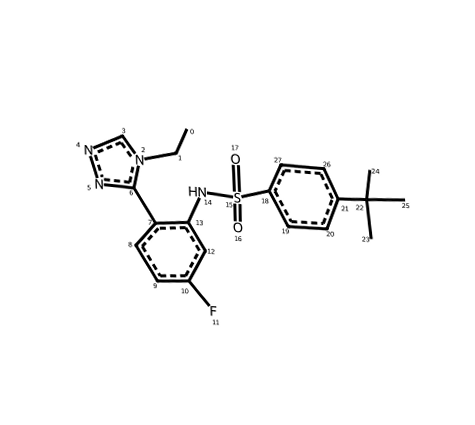 CCn1cnnc1-c1ccc(F)cc1NS(=O)(=O)c1ccc(C(C)(C)C)cc1